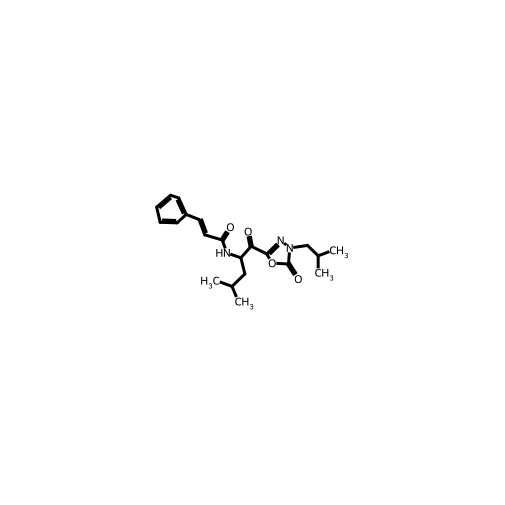 CC(C)CC(NC(=O)C=Cc1ccccc1)C(=O)c1nn(CC(C)C)c(=O)o1